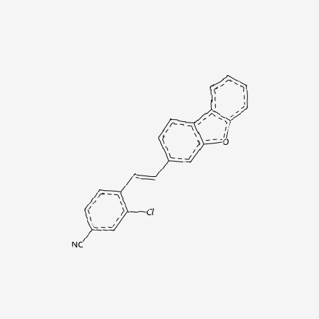 N#Cc1ccc(/C=C/c2ccc3c(c2)oc2ccccc23)c(Cl)c1